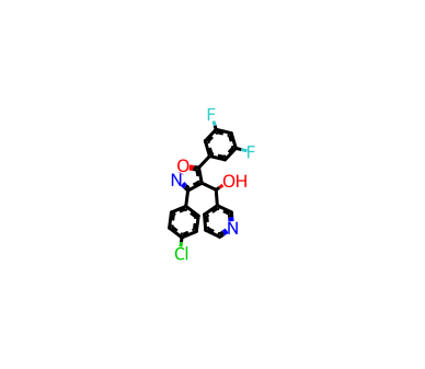 OC(c1cccnc1)c1c(-c2ccc(Cl)cc2)noc1-c1cc(F)cc(F)c1